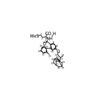 CSCCC(NC(=O)c1ccc(OCC(C)C23CC4CC(CC(C4)C2)C3)cc1-c1ccccc1C)C(=O)O